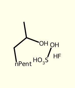 CCCCCCC(C)O.F.O=S(=O)(O)O